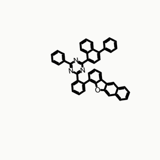 c1ccc(-c2nc(-c3ccccc3-c3cccc4c3oc3cc5ccccc5cc34)nc(-c3ccc(-c4ccccc4)c4ccccc34)n2)cc1